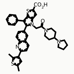 Cc1cc(-c2ccc3cc(-c4c(-c5ccccc5)c5sc(C(=O)O)cc5n4CC(=O)N4CCC(N5CCCC5)CC4)ccc3n2)c(C)s1